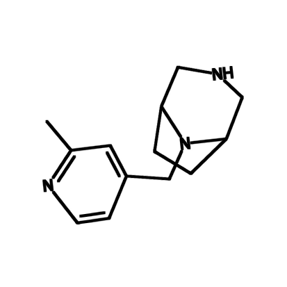 Cc1cc(CN2C3CCC2CNC3)ccn1